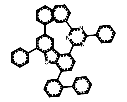 c1ccc(-c2cc(-c3ccccc3)c3oc4c(-c5ccccc5-c5ccccc5)ccc(-c5nc(-c6ccccc6)nc(-c6ccccc6)n5)c4c3c2)cc1